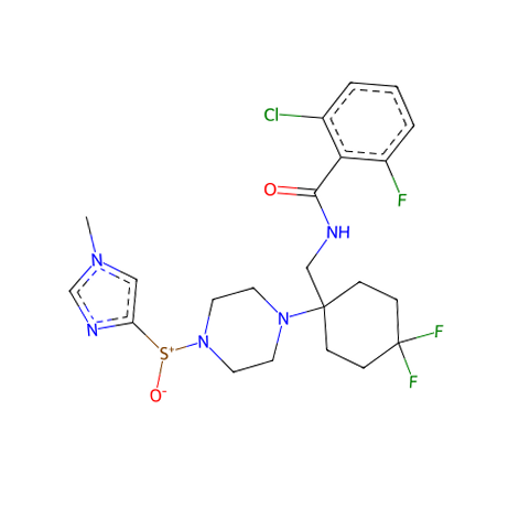 Cn1cnc([S+]([O-])N2CCN(C3(CNC(=O)c4c(F)cccc4Cl)CCC(F)(F)CC3)CC2)c1